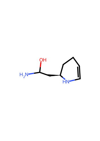 NC(O)C[C@H]1CCC=CN1